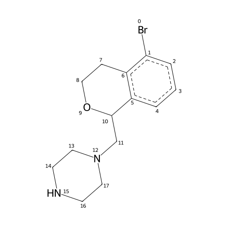 Brc1cccc2c1CCOC2CN1CCNCC1